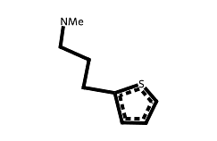 CNCCCc1cccs1